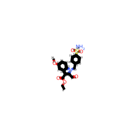 CCOC(=O)c1c(C=O)n(Cc2ccc(S(N)(=O)=O)cc2)c2ccc(OC)cc12